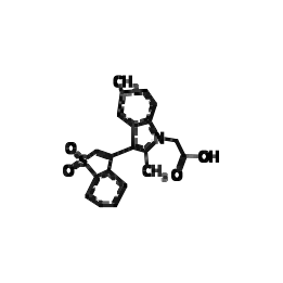 Cc1ccc2c(c1)c(C1=CS(=O)(=O)c3ccccc31)c(C)n2CC(=O)O